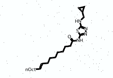 CCCCCCCCC=CCCCCCCCC(=O)Nc1nnc(NCC2CC2)s1